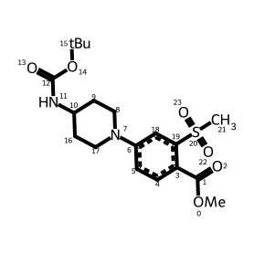 COC(=O)c1ccc(N2CCC(NC(=O)OC(C)(C)C)CC2)cc1S(C)(=O)=O